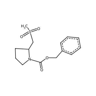 CS(=O)(=O)CC1CCCN1C(=O)OCc1ccccc1